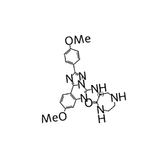 COc1ccc(-c2nc3c4ccc(OC)cc4nc(N[C@@H]4CNCCNC4=O)n3n2)cc1